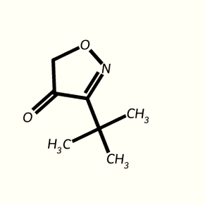 CC(C)(C)C1=NOCC1=O